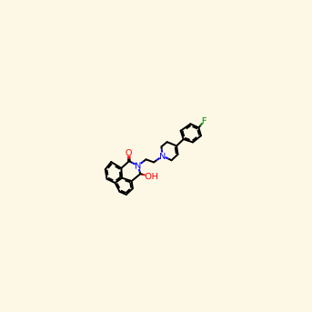 O=C1c2cccc3cccc(c23)C(O)N1CCN1CC=C(c2ccc(F)cc2)CC1